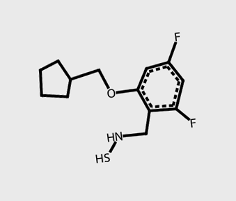 Fc1cc(F)c(CNS)c(OCC2CCCC2)c1